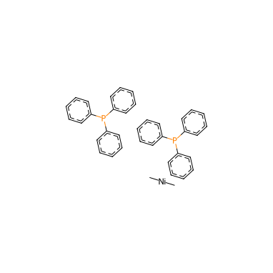 [CH3][Ni][CH3].c1ccc(P(c2ccccc2)c2ccccc2)cc1.c1ccc(P(c2ccccc2)c2ccccc2)cc1